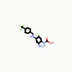 Nc1cc(NCc2ccc(C(F)(F)F)cc2)c(F)cc1NC(=O)O